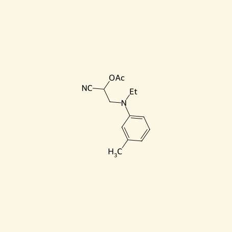 CCN(CC(C#N)OC(C)=O)c1cccc(C)c1